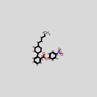 CCCCCC1CCC(c2ccccc2C(=O)Oc2ccc([N+](=O)[O-])cc2)CC1